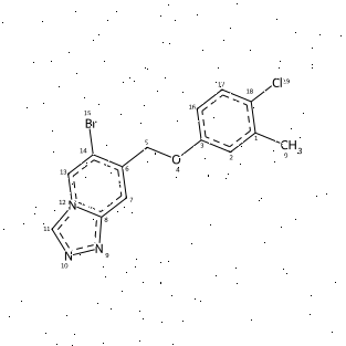 Cc1cc(OCc2cc3nncn3cc2Br)ccc1Cl